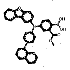 COC(=O)c1cc(N(c2ccc(-c3cccc4ccccc34)cc2)c2ccc3oc4ccccc4c3c2)ccc1B(O)O